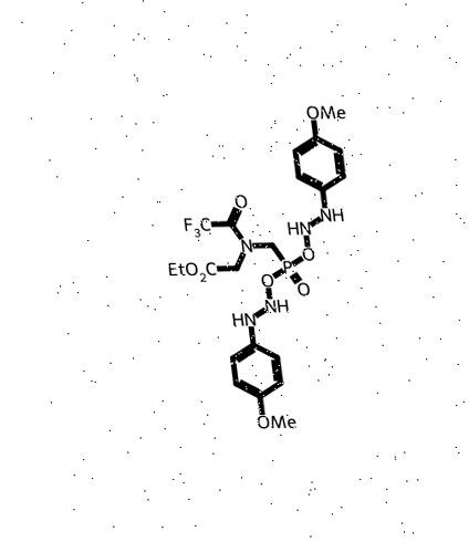 CCOC(=O)CN(CP(=O)(ONNc1ccc(OC)cc1)ONNc1ccc(OC)cc1)C(=O)C(F)(F)F